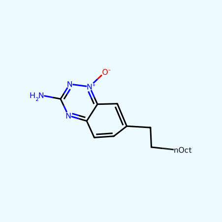 CCCCCCCCCCc1ccc2nc(N)n[n+]([O-])c2c1